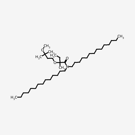 CCCCCCCCCCCCCCN(CCCCCCCCCCCCCC)C(=O)C(C)(CC)OCCC(C)(C)OC